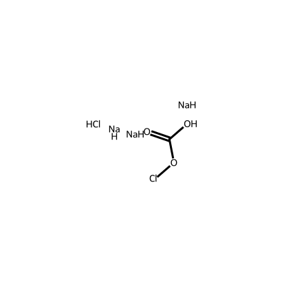 Cl.O=C(O)OCl.[NaH].[NaH].[NaH]